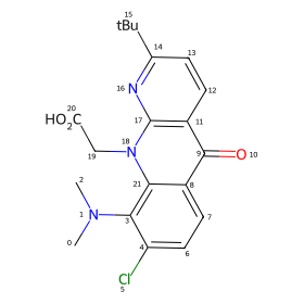 CN(C)c1c(Cl)ccc2c(=O)c3ccc(C(C)(C)C)nc3n(CC(=O)O)c12